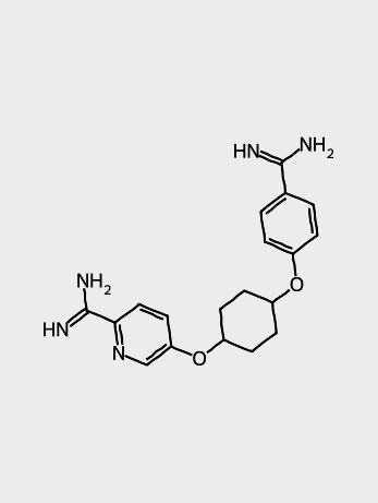 N=C(N)c1ccc(OC2CCC(Oc3ccc(C(=N)N)nc3)CC2)cc1